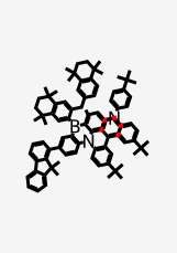 Cc1cc(N(c2ccc(C(C)(C)C)cc2)c2ccc(C(C)(C)C)cc2)cc2c1B(c1cc3c(cc1Cc1ccc4c(c1)C(C)(C)CCC4(C)C)C(C)(C)CCC3(C)C)c1cc(-c3cccc4c3C(C)(C)c3ccccc3-4)ccc1N2c1ccc(C(C)(C)C)cc1-c1ccccc1